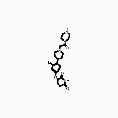 O=C1CCC(Oc2ccc(C3CCN(CC(=O)N4CCNCC4)CC3)c(F)c2)C(=O)N1